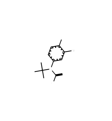 CC(C)(C)N(C(=O)O)c1ccc(F)c(N)c1